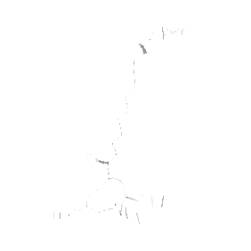 CCCCCC=CCCCCCCCCC(=O)C1CC(C)CNC(C)C1